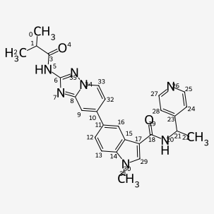 CC(C)C(=O)Nc1nc2cc(-c3ccc4c(c3)c(C(=O)NC(C)c3ccncc3)cn4C)ccn2n1